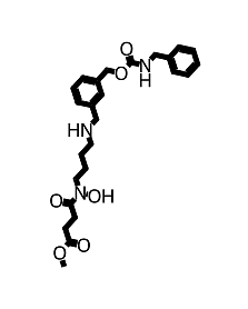 COC(=O)CCC(=O)N(O)CCCCNCc1cccc(COC(=O)NCc2ccccc2)c1